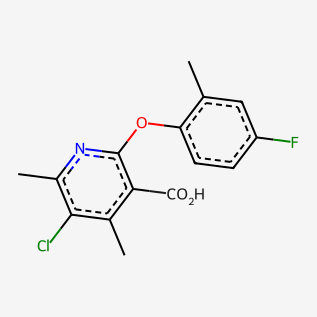 Cc1cc(F)ccc1Oc1nc(C)c(Cl)c(C)c1C(=O)O